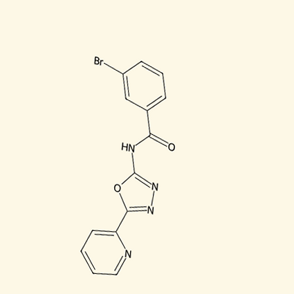 O=C(Nc1nnc(-c2ccccn2)o1)c1cccc(Br)c1